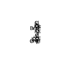 O=C1CCc2c(OCC3=CCN(c4c(F)cc(Cl)cc4Br)CC3)ccc(F)c2N1